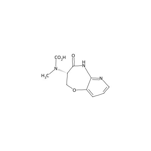 CN(C(=O)O)[C@H]1COc2cccnc2NC1=O